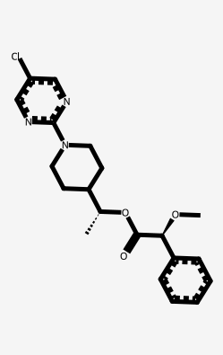 CO[C@H](C(=O)O[C@H](C)C1CCN(c2ncc(Cl)cn2)CC1)c1ccccc1